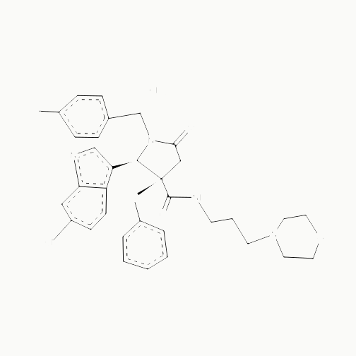 C[C@@H](c1ccc(Cl)cc1)N1C(=O)C[C@](Sc2ccccc2)(C(=O)NCCCN2CCOCC2)[C@H]1c1c[nH]c2cc(Cl)ccc12